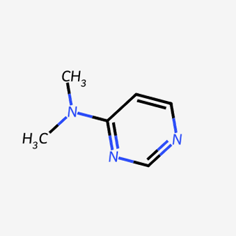 CN(C)c1ccncn1